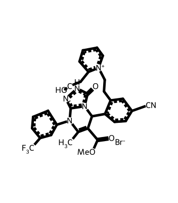 COC(=O)C1=C(C)N(c2cccc(C(F)(F)F)c2)c2n[nH]c(=O)n2C1c1ccc(C#N)cc1CC[n+]1ccccc1CCO.[Br-]